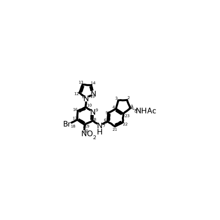 CC(=O)N[C@H]1CCc2cc(Nc3nc(-n4cccn4)cc(Br)c3[N+](=O)[O-])ccc21